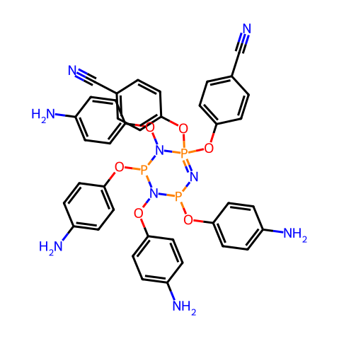 N#Cc1ccc(OP2(Oc3ccc(C#N)cc3)=NP(Oc3ccc(N)cc3)N(Oc3ccc(N)cc3)P(Oc3ccc(N)cc3)N2Oc2ccc(N)cc2)cc1